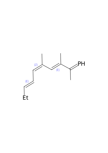 CC/C=C/C=C(C)\C=C(/C)C(C)=P